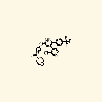 O=C(N1CCOCC1)N1CC(Oc2cc(-c3ccncc3Cl)c(-c3ccc(C(F)(F)F)cc3)nn2)C1